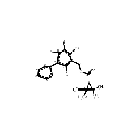 CC1(C)C(C(=O)OCc2c(F)c(F)c(F)c(-c3ccccc3)c2F)C1(C)C